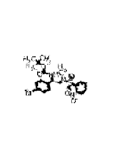 CN(C[C@H](NC(=O)OC(C)(C)C)c1ccc(Br)cc1)S(=O)(=O)c1ccccc1[N+](=O)[O-]